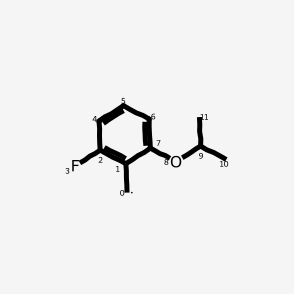 [CH2]c1c(F)cccc1OC(C)C